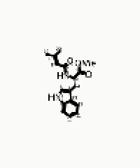 COC(=O)[C@H](Cc1c[nH]c2ccccc12)NC(=O)C=C(C)C